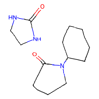 O=C1CCCN1C1CCCCC1.O=C1NCCN1